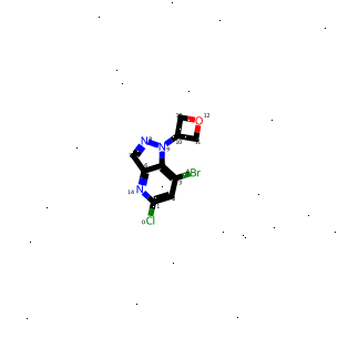 Clc1cc(Br)c2c(cnn2C2COC2)n1